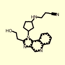 N#CCCNC1CCC(n2c(CCO)nc3cnc4ccccc4c32)C1